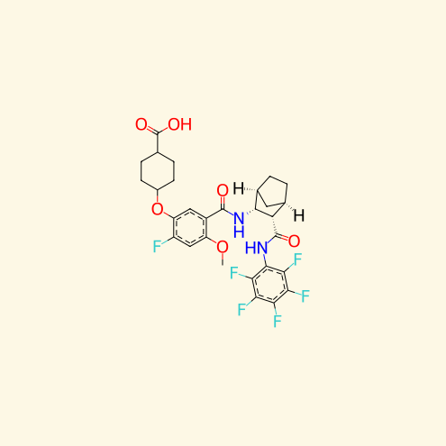 COc1cc(F)c(OC2CCC(C(=O)O)CC2)cc1C(=O)N[C@@H]1[C@H]2CC[C@H](C2)[C@@H]1C(=O)Nc1c(F)c(F)c(F)c(F)c1F